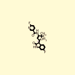 CC1(C)O/C(=C2/C(=O)Nc3cc(F)ccc32)C=C1NC(=O)c1ccc(F)nc1